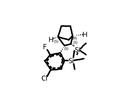 C[Si](C)(C)c1cc(Cl)cc(F)c1[C@@H]1[C@H]2CC[C@H](C2)[C@@H]1[Si](C)(C)C